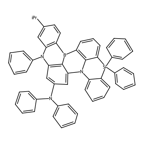 CC(C)c1ccc2c(c1)N(c1ccccc1)c1cc(N(c3ccccc3)c3ccccc3)cc3c1B2c1cccc2c1N3c1ccccc1[Si]2(c1ccccc1)c1ccccc1